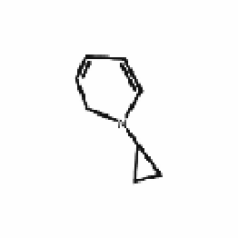 [C]1=CN(C2CC2)CC=C1